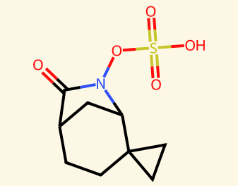 O=C1C2CCC3(CC3)C(C2)N1OS(=O)(=O)O